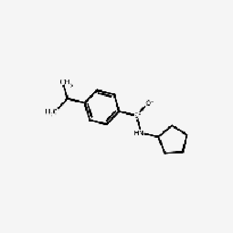 CC(C)c1ccc([S+]([O-])NC2CCCC2)cc1